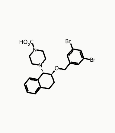 O=C(O)N1CCN([C@H]2c3ccccc3CC[C@@H]2OCc2cc(Br)cc(Br)c2)CC1